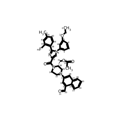 CCOc1cccc(-n2cc(C(=O)N3CCN(c4cc(C=O)c5ccccc5c4)C[C@H]3COC(C)=O)nc2-c2ccc(C)cc2F)c1